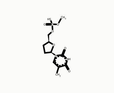 COP(=O)(S)OC[C@@H]1CC[C@H](n2cc(C)c(=O)[nH]c2=O)O1